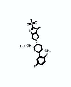 Cl.Cl.Cn1c(S(C)(=O)=O)nc2c1CN([C@H]1CO[C@H](c3cc(F)ccc3F)[C@@H](N)C1)C2